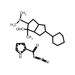 CN(C)C1CC2CC(C3CCCCC3)CC2C1(C)C=O.[N-]=[N+]=NC(=O)c1ccc[nH]1